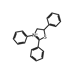 c1ccc(C2=[N+](c3ccccc3)CC(c3ccccc3)S2)cc1